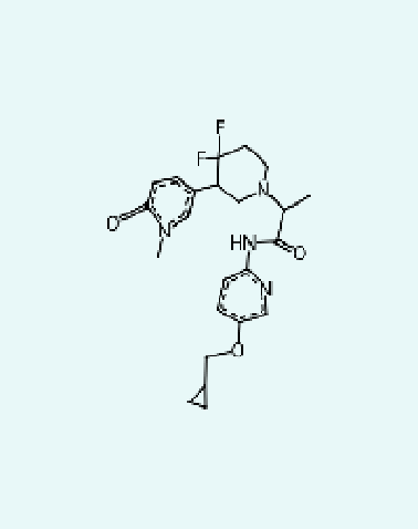 CC(C(=O)Nc1ccc(OCC2CC2)cn1)N1CCC(F)(F)C(c2ccc(=O)n(C)c2)C1